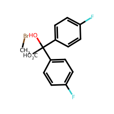 CBr.O=C(O)C(O)(c1ccc(F)cc1)c1ccc(F)cc1